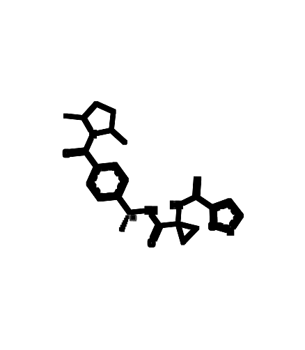 C=C(NC1(C(=O)N[C@H](C)c2ccc(C(=O)N3C(C)CCC3C)cc2)CC1)c1ccno1